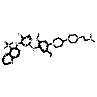 CCc1cc(Nc2ncc(Br)c(Nc3ccc4nccnc4c3P(C)(C)=O)n2)c(OC)cc1N1CCC(N2CCN(CC[S+](C)[O-])CC2)CC1